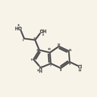 OCC(O)c1c[nH]c2cc(Cl)ccc12